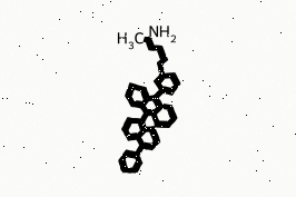 C/C(N)=C/C=C\Cc1cccc(-c2c3ccccc3c(-c3cccc4c(-c5ccccc5)cccc34)c3ccccc23)c1